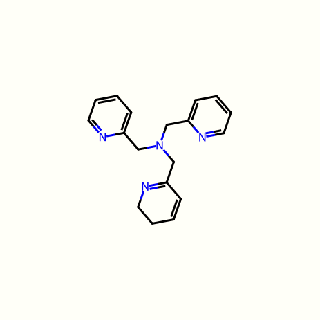 C1=CC(CN(Cc2ccccn2)Cc2ccccn2)=NCC1